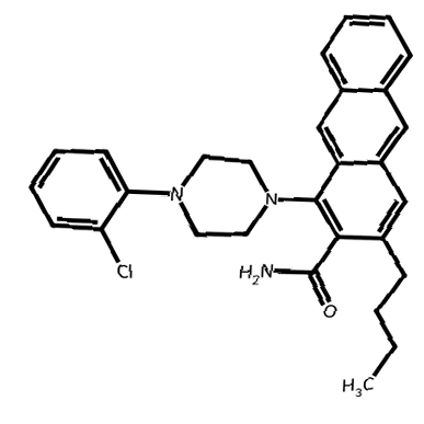 CCCCc1cc2cc3ccccc3cc2c(N2CCN(c3ccccc3Cl)CC2)c1C(N)=O